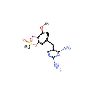 CCOc1cc(Cc2cnc(N)nc2N)cc(OS(=O)(=O)C(C)CC)c1I